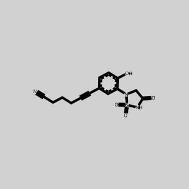 N#CCCCC#Cc1ccc(O)c(N2CC(=O)NS2(=O)=O)c1